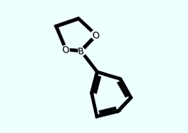 [c]1ccc(B2OCCO2)cc1